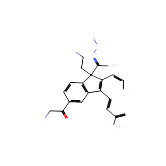 C=C(/C=C/C1=C(/C=C\C)C(CCN)(/C(=N/NN)NC)c2ccc(C(=O)CN)cc21)NC